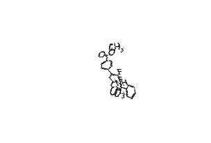 CCC(CC(=C(F)F)c1ccc(C(=O)OC)cc1)NC(=O)c1ccccc1